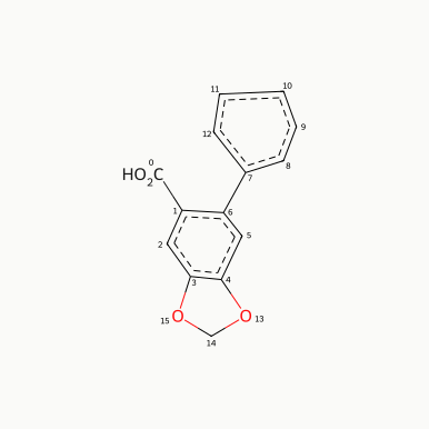 O=C(O)c1cc2c(cc1-c1ccccc1)OCO2